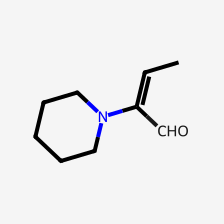 CC=C(C=O)N1CCCCC1